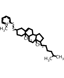 CC(C)CCCCC1CCC2C3CC=C4CC(SSc5cccc[n+]5C)CCC4(C)C3CCC12C